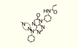 C=CC(=O)Nc1cccc(-n2c(=O)cnc3c(N(c4ccccc4)N4CCN(C)CC4)ncnc32)c1